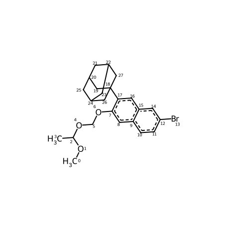 COC(C)OCOc1cc2ccc(Br)cc2cc1C12CC3CC(CC(C3)C1)C2